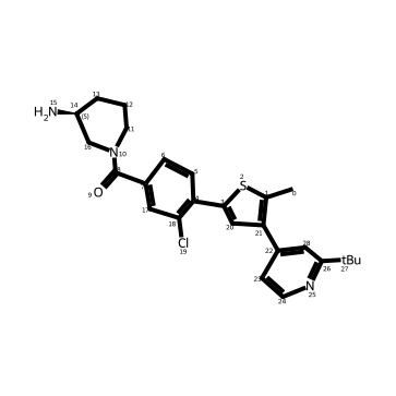 Cc1sc(-c2ccc(C(=O)N3CCC[C@H](N)C3)cc2Cl)cc1-c1ccnc(C(C)(C)C)c1